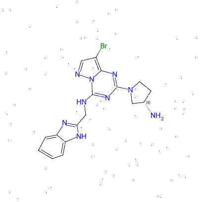 N[C@H]1CCN(c2nc(NCc3nc4ccccc4[nH]3)n3ncc(Br)c3n2)C1